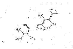 CCNC(=C1CCC1)/C(C)=C(C)/C=C/C(=N)/C(C)=C(\C)NC